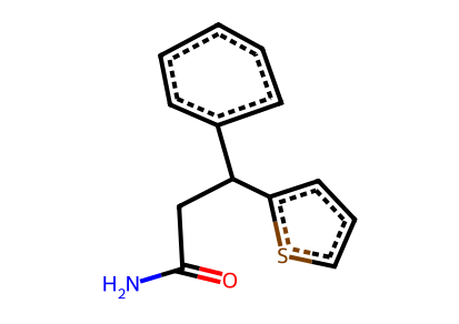 NC(=O)CC(c1ccccc1)c1cccs1